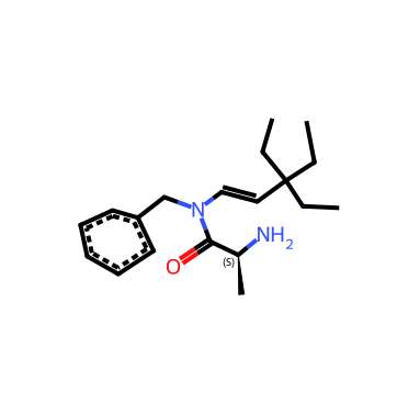 CCC(C=CN(Cc1ccccc1)C(=O)[C@H](C)N)(CC)CC